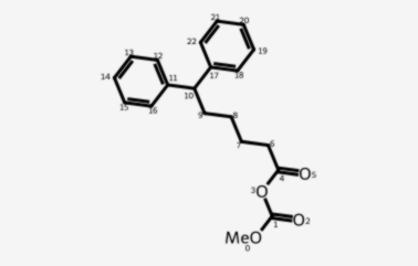 COC(=O)OC(=O)CCCCC(c1ccccc1)c1ccccc1